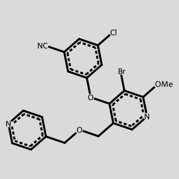 COc1ncc(COCc2ccncc2)c(Oc2cc(Cl)cc(C#N)c2)c1Br